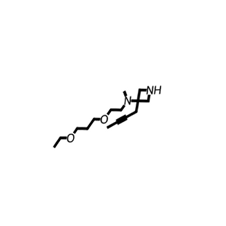 CC#CCC1(N(C)CCOCCCOCC)CNC1